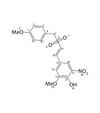 COc1ccc(CS(=O)(=O)C=Cc2cc(OC)c(O)c([N+](=O)[O-])c2)cc1